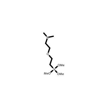 CO[Si](CCOCCN(C)C)(OC)OC